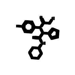 Cc1ccc(N(C(=O)CCl)C(C(=O)NC2CCCCC2)C2=CC=C=C2)cc1